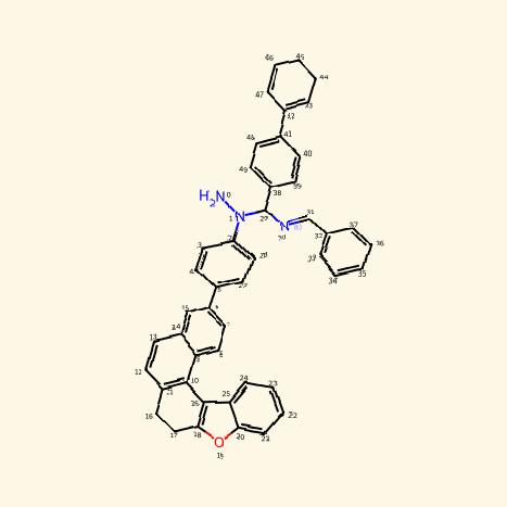 NN(c1ccc(-c2ccc3c4c(ccc3c2)CCc2oc3ccccc3c2-4)cc1)C(/N=C/c1ccccc1)c1ccc(C2=CCCC=C2)cc1